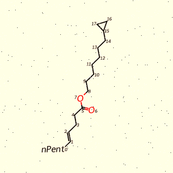 CCCCCC=CCCC(=O)OCCCCCCCC1CC1